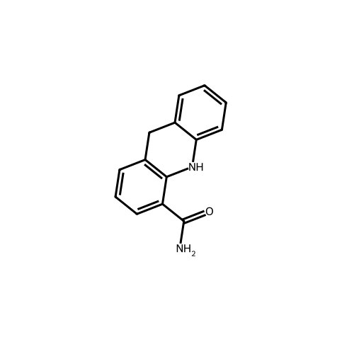 NC(=O)c1cccc2c1Nc1ccccc1C2